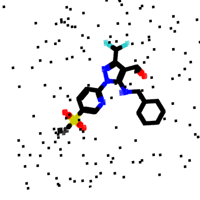 CS(=O)(=O)c1ccc(-n2nc(C(F)F)c(C=O)c2NCC2CCCCC2)nc1